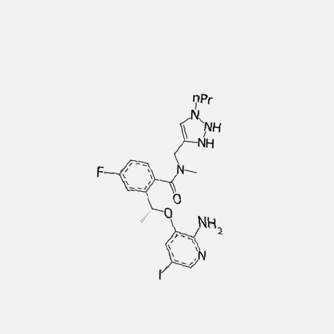 CCCN1C=C(CN(C)C(=O)c2ccc(F)cc2[C@@H](C)Oc2cc(I)cnc2N)NN1